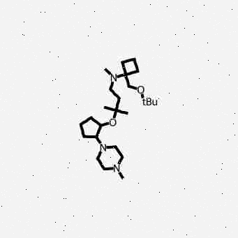 CN1CCN(C2CCCC2OC(C)(C)CCN(C)C2(COC(C)(C)C)CCC2)CC1